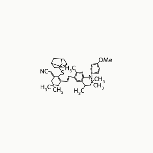 COc1ccc(N2c3cc(C)c(C=CC4=C(SC56CC7CC(CC(C7)C5)C6)C(=CC#N)CC(C)(C)C4)cc3C(C)CC2(C)C)cc1